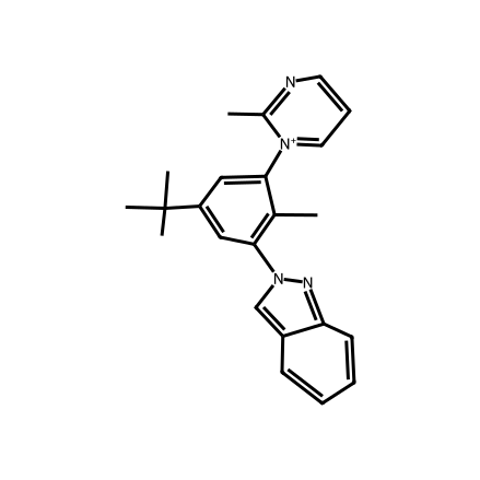 Cc1c(-n2cc3ccccc3n2)cc(C(C)(C)C)cc1-[n+]1cccnc1C